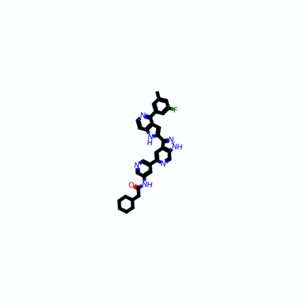 Cc1cc(F)cc(-c2nccc3[nH]c(-c4n[nH]c5cnc(-c6cncc(NC(=O)CC7CCCCC7)c6)cc45)cc23)c1